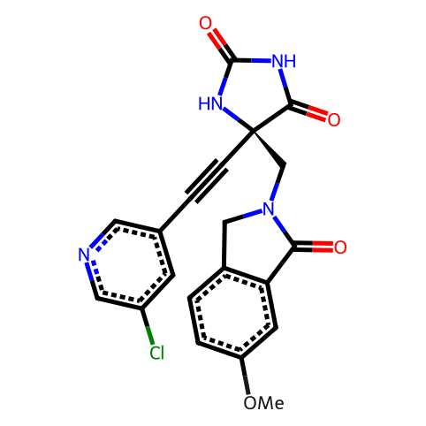 COc1ccc2c(c1)C(=O)N(C[C@@]1(C#Cc3cncc(Cl)c3)NC(=O)NC1=O)C2